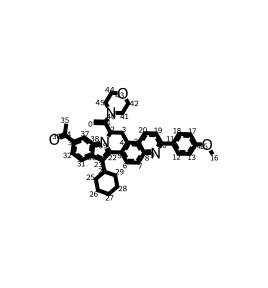 C=C(C1Cc2c(ccc3nc(-c4ccc(OC)cc4)ccc23)-c2c(C3CCCCC3)c3ccc(C(C)=O)cc3n21)N1CCOCC1